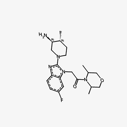 CC1COCC(C)N1C(=O)Cn1c(N2CC[C@@H](F)[C@H](N)C2)nc2ccc(F)cc21